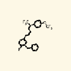 Fc1ccc(C/C=C\C=C(/c2ccc(OC(F)(F)F)cc2)C(F)(F)F)cc1Cc1ccccc1